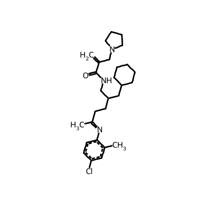 C=C(CN1CCCC1)C(=O)NCC(CC/C(C)=N/c1ccc(Cl)cc1C)CC1CCCCC1